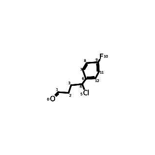 O=CCCC(Cl)c1ccc(F)cc1